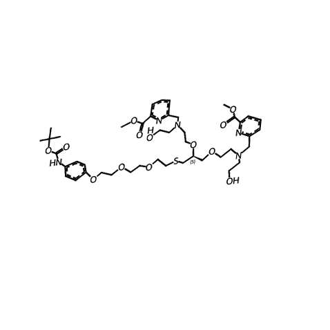 COC(=O)c1cccc(CN(CCO)CCOC[C@@H](CSCCOCCOCCOc2ccc(NC(=O)OC(C)(C)C)cc2)OCCN(CCO)Cc2cccc(C(=O)OC)n2)n1